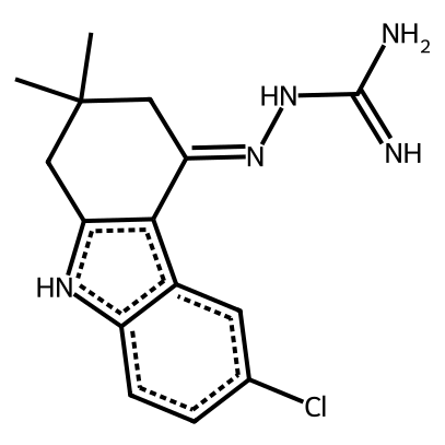 CC1(C)CC(=NNC(=N)N)c2c([nH]c3ccc(Cl)cc23)C1